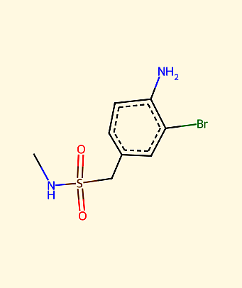 CNS(=O)(=O)Cc1ccc(N)c(Br)c1